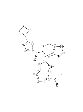 O=C(c1nnc(C2CCC2)o1)N1CCc2[nH]cnc2[C@@H]1c1cc2cccc(C(F)F)n2n1